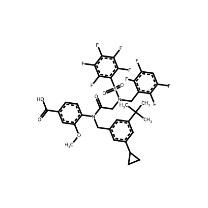 COc1cc(C(=O)O)ccc1N(Cc1cc(C2CC2)cc(C(C)(C)C)c1)C(=O)CN(Cc1c(F)c(F)cc(F)c1F)S(=O)(=O)c1c(F)c(F)c(F)c(F)c1F